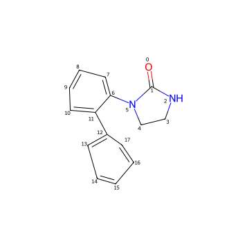 O=C1NCCN1c1ccccc1-c1ccccc1